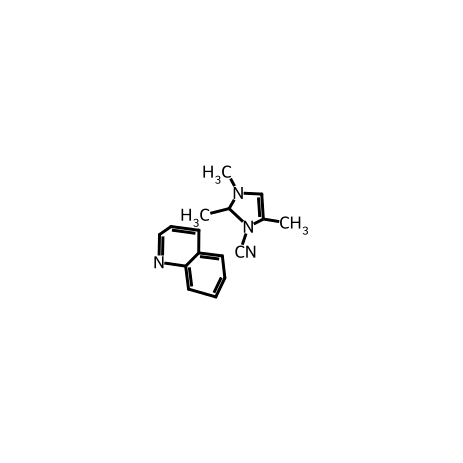 CC1=CN(C)C(C)N1C#N.c1ccc2ncccc2c1